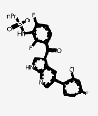 CCCS(=O)(=O)Nc1c(F)ccc(C(=O)c2c[nH]c3ncc(-c4ccc(F)cc4Cl)cc23)c1F